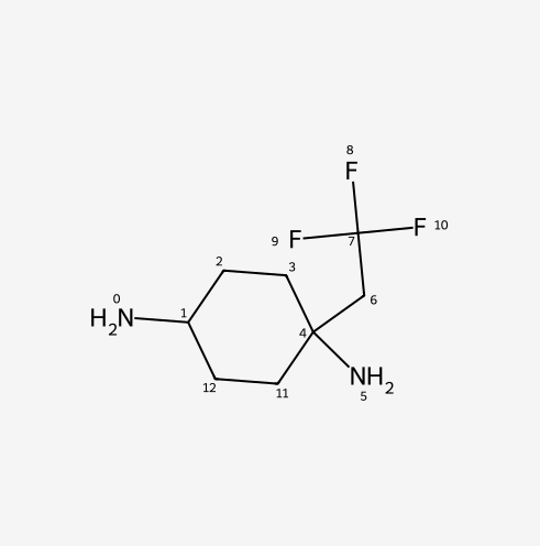 NC1CCC(N)(CC(F)(F)F)CC1